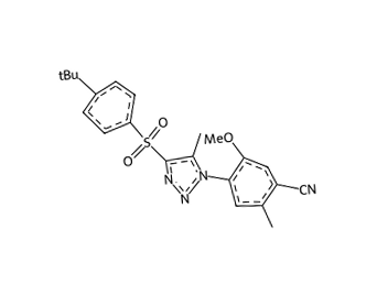 COc1cc(C#N)c(C)cc1-n1nnc(S(=O)(=O)c2ccc(C(C)(C)C)cc2)c1C